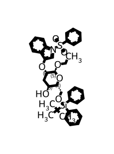 CCO[C@H]1O[C@H](CO[Si](c2ccccc2)(c2ccccc2)C(C)(C)C)[C@@H](O)C[C@H]1Oc1cn(S(=O)(=O)c2ccccc2)c2ccccc12